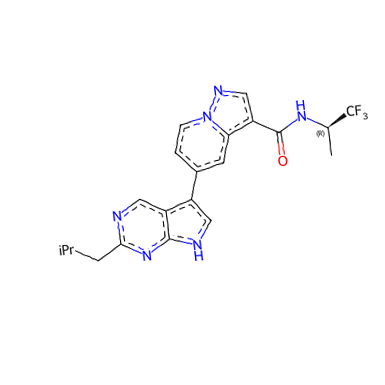 CC(C)Cc1ncc2c(-c3ccn4ncc(C(=O)N[C@H](C)C(F)(F)F)c4c3)c[nH]c2n1